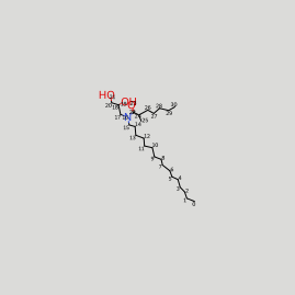 CCCCCCCCCCCCCCCCN(CC(O)CO)C(=O)C(C)CCCCC